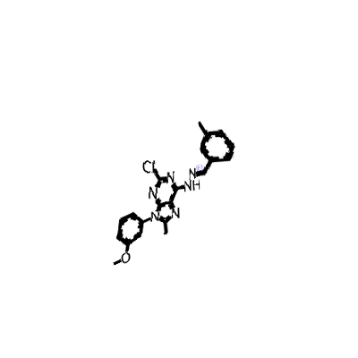 COc1cccc(-n2c(C)nc3c(N/N=C/c4cccc(C)c4)nc(Cl)nc32)c1